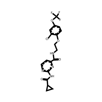 O=C(NCCOc1ccc(OC(F)(F)F)cc1Cl)c1ccnc(NC(=O)C2CC2)n1